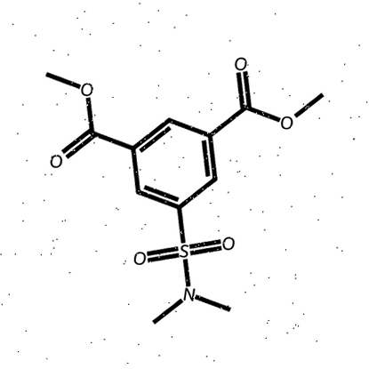 COC(=O)c1cc(C(=O)OC)cc(S(=O)(=O)N(C)C)c1